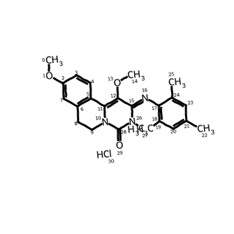 COc1ccc2c(c1)CCn1c-2c(OC)c(=Nc2c(C)cc(C)cc2C)n(C)c1=O.Cl